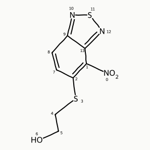 O=[N+]([O-])c1c(SCCO)ccc2nsnc12